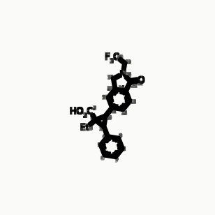 CCC1(C(=O)O)C(c2ccccc2)C1c1ccc2c(c1)CN(CC(F)(F)F)C2=O